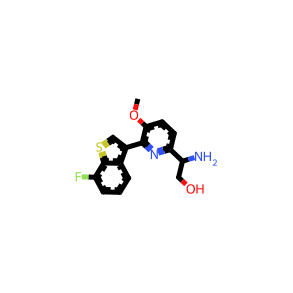 COc1ccc(C(N)CO)nc1-c1csc2c(F)cccc12